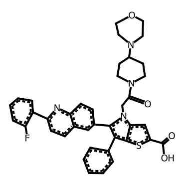 O=C(O)c1cc2c(s1)c(-c1ccccc1)c(-c1ccc3nc(-c4ccccc4F)ccc3c1)n2CC(=O)N1CCC(N2CCOCC2)CC1